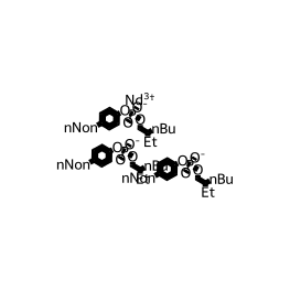 CCCCCCCCCc1ccc(OP(=O)([O-])OCC(CC)CCCC)cc1.CCCCCCCCCc1ccc(OP(=O)([O-])OCC(CC)CCCC)cc1.CCCCCCCCCc1ccc(OP(=O)([O-])OCC(CC)CCCC)cc1.[Nd+3]